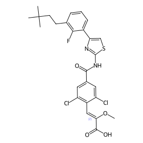 CO/C(=C\c1c(Cl)cc(C(=O)Nc2nc(-c3cccc(CCC(C)(C)C)c3F)cs2)cc1Cl)C(=O)O